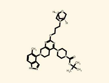 Cc1ccc2[nH]ncc2c1N1CCc2c(nc(OCCCN3C[C@@H]4C[C@H]3CO4)nc2N2CCN(C(=O)OC(C)(C)C)CC2)C1